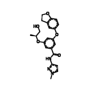 C[C@@H](CO)Oc1cc(Oc2ccc3c(c2)CCO3)cc(C(=O)Nc2ccn(C)n2)c1